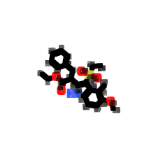 CCOC(=O)C(Cc1ccccc1)c1[nH]c2ccc(OC)c(C)c2c1S(=O)(=O)CC